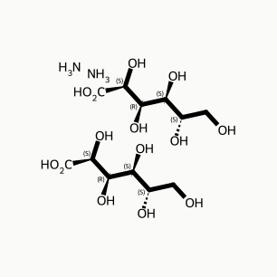 N.N.O=C(O)[C@@H](O)[C@H](O)[C@@H](O)[C@@H](O)CO.O=C(O)[C@@H](O)[C@H](O)[C@@H](O)[C@@H](O)CO